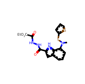 CCOC(=O)C(=O)NNC(=O)c1cc2cccc(N(C)Sc3cccs3)c2[nH]1